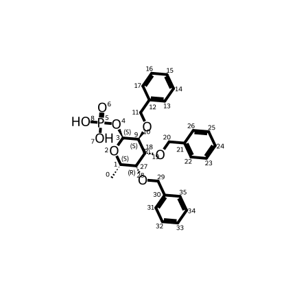 C[C@@H]1O[C@@H](OP(=O)(O)O)[C@@H](OCc2ccccc2)[C@H](OCc2ccccc2)[C@@H]1OCc1ccccc1